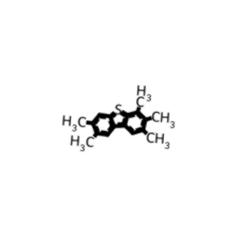 Cc1cc2sc3c(C)c(C)c(C)cc3c2cc1C